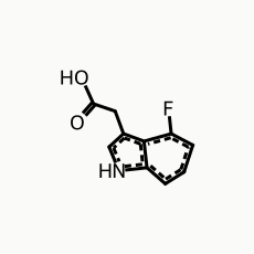 O=C(O)Cc1c[nH]c2cccc(F)c12